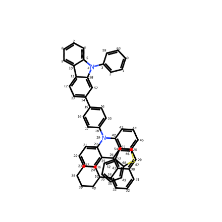 c1ccc(-n2c3ccccc3c3ccc(-c4ccc(N(c5ccccc5-c5cccc6cccc(C7CCCCC7)c56)c5cccc6sc7ccccc7c56)cc4)cc32)cc1